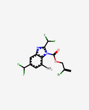 C=C(Br)COC(=O)n1c(C(F)F)nc2cc(C(F)F)cc([N+](=O)[O-])c21